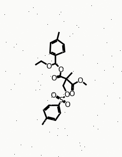 CCOC(OC(=O)C(C)(COS(=O)(=O)c1ccc(C)cc1)C(=O)OC)c1ccc(C)cc1